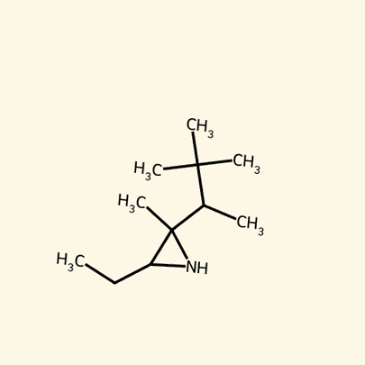 CCC1NC1(C)C(C)C(C)(C)C